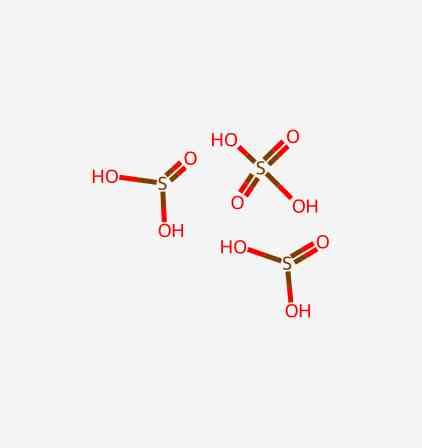 O=S(=O)(O)O.O=S(O)O.O=S(O)O